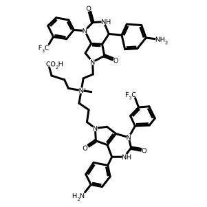 C[N+](CCCC(=O)O)(CCCN1CC2=C(C1=O)C(c1ccc(N)cc1)NC(=O)N2c1cccc(C(F)(F)F)c1)CCN1CC2=C(C1=O)C(c1ccc(N)cc1)NC(=O)N2c1cccc(C(F)(F)F)c1